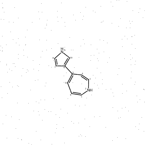 C1=CNC=CC(c2cc[nH]c2)=C1